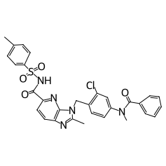 Cc1ccc(S(=O)(=O)NC(=O)c2ccc3nc(C)n(Cc4ccc(N(C)C(=O)c5ccccc5)cc4Cl)c3n2)cc1